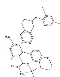 Cc1cc(F)ccc1CN1CCc2cc(-c3c(N)nc(C)c(C(OC(C)(C)C)C(=O)O)c3-c3ccc4c(c3)CCCO4)ccc2C1